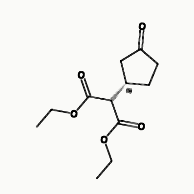 CCOC(=O)C(C(=O)OCC)[C@H]1CCC(=O)C1